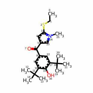 CCSc1cc(C(=O)c2cc(C(C)(C)C)c(O)c(C(C)(C)C)c2)cn1C